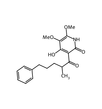 COc1[nH]c(=O)c(C(=O)C(C)CCCc2ccccc2)c(O)c1OC